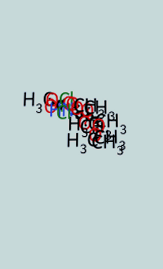 COC(=O)c1cc(Cl)c(C(=O)N[C@@H](Cc2ccc(-c3c(OC)cc(CC(C)(C)OCCOC(C)(C)C)cc3OC)cc2)C(=O)OC)c(Cl)c1